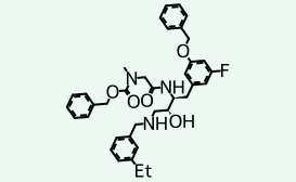 CCc1cccc(CNC[C@@H](O)[C@H](Cc2cc(F)cc(OCc3ccccc3)c2)NC(=O)CN(C)C(=O)OCc2ccccc2)c1